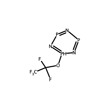 FC(F)(F)C(F)(F)O[PH]1=NP=NP=N1